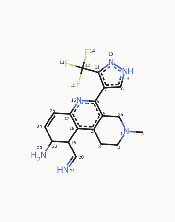 CN1CCc2c(c(-c3c[nH]nc3C(F)(F)F)nc3c2C(C=N)C(N)C=C3)C1